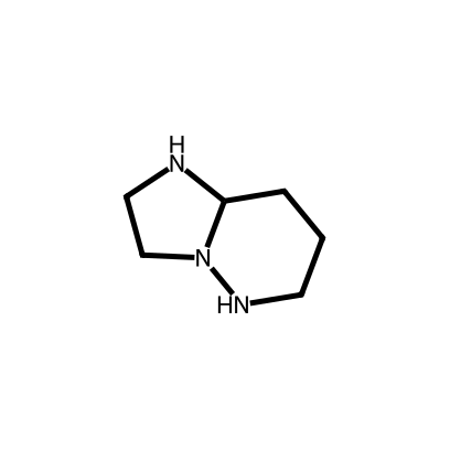 C1CNN2CCNC2C1